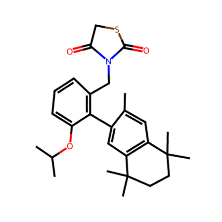 Cc1cc2c(cc1-c1c(CN3C(=O)CSC3=O)cccc1OC(C)C)C(C)(C)CCC2(C)C